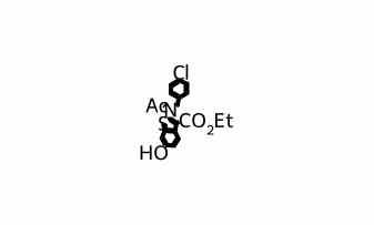 CCOC(=O)c1c(N(Cc2ccc(Cl)cc2)C(C)=O)sc2cc(O)ccc12